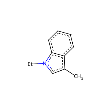 CCn1cc(C)c2c[c]ccc21